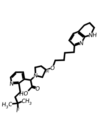 CC(C)(F)CCc1ncccc1C(C(=O)O)N1CC[C@@H](OCCCCc2ccc3c(n2)NCCC3)C1